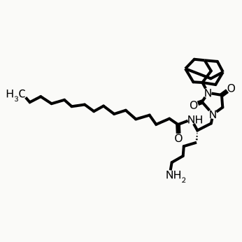 CCCCCCCCCCCCCCCC(=O)N[C@@H](CCCCN)CN1CC(=O)N(C23CC4CC(CC(C4)C2)C3)C1=O